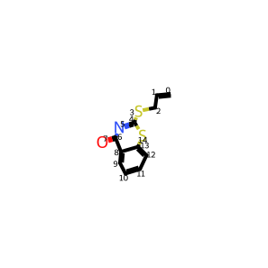 C=CCSc1nc(=O)c2ccccc2s1